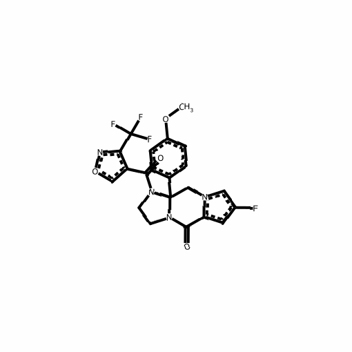 COc1ccc(C23Cn4cc(F)cc4C(=O)N2CCN3C(=O)c2conc2C(F)(F)F)cc1